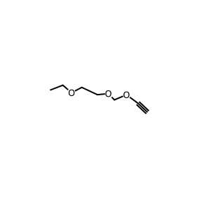 C#COCOCCOCC